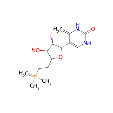 C=C1NC(=O)NC=C1[C@@H]1OC(CCP(=C)(C)C)[C@@H](O)[C@H]1I